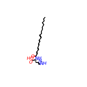 CCCCCCCCCC=CC=CC=CC=CC=CC(=O)N[C@@H](Cc1c[nH]cn1)C(=O)O